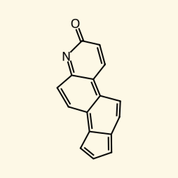 O=C1C=Cc2c(ccc3c4c(ccc23)=CC=C4)=N1